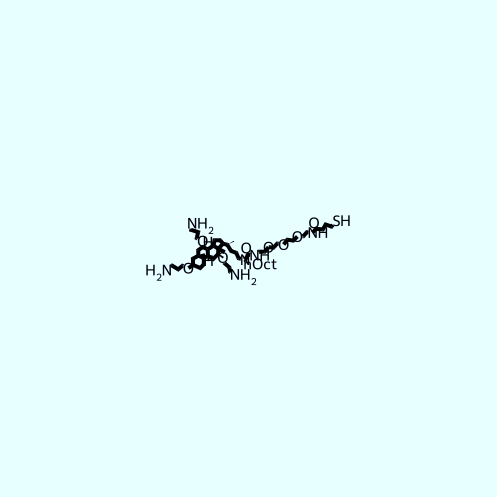 CCCCCCCCN(CCC[C@@H](C)C1CC[C@H]2C3[C@H](OCCCN)CC4CC(OCCCN)CCC4(C)[C@H]3C[C@H](OCCCN)C12C)C(=O)NCCOCCOCCOCCNC(=O)CCCS